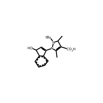 CC1=C(C(=O)O)C(C)N(C(C)(C)C)N1C1=CC(O)c2ccccc21